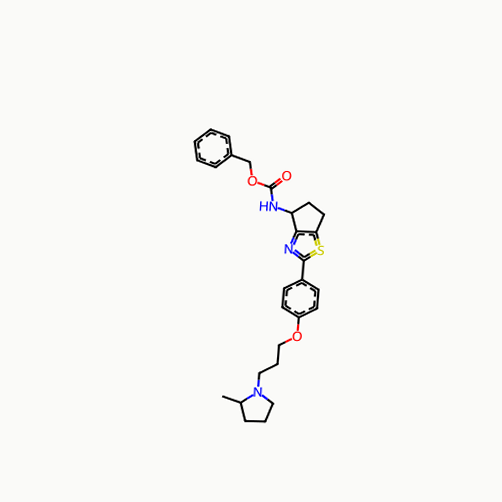 CC1CCCN1CCCOc1ccc(-c2nc3c(s2)CCC3NC(=O)OCc2ccccc2)cc1